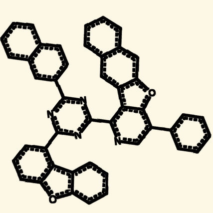 c1ccc(-c2cnc(-c3nc(-c4ccc5ccccc5c4)nc(-c4cccc5oc6ccccc6c45)n3)c3c2oc2cc4ccccc4cc23)cc1